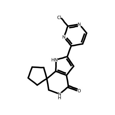 O=C1NCC2(CCCC2)c2[nH]c(-c3ccnc(Cl)n3)cc21